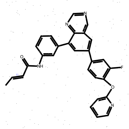 C/C=C/C(=O)Nc1cccc(-c2cc(-c3ccc(Oc4ccccn4)c(F)c3)cc3cncnc23)c1